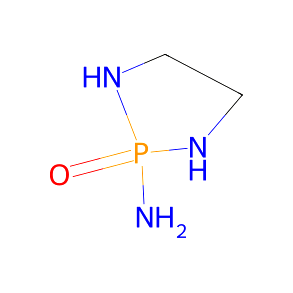 NP1(=O)NCCN1